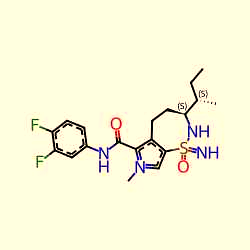 CC[C@H](C)[C@@H]1CCc2c(cn(C)c2C(=O)Nc2ccc(F)c(F)c2)S(=N)(=O)N1